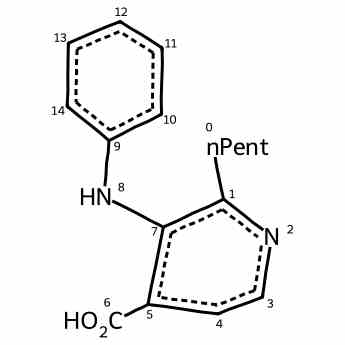 CCCCCc1nccc(C(=O)O)c1Nc1ccccc1